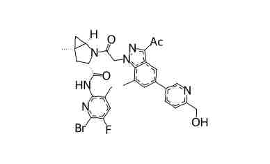 CC(=O)c1nn(CC(=O)N2[C@H](C(=O)Nc3nc(Br)c(F)cc3C)C[C@@]3(C)C[C@@H]23)c2c(C)cc(-c3ccc(CO)nc3)cc12